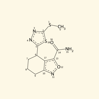 CSc1nnc(C2CCCc3noc(C(N)=O)c32)s1